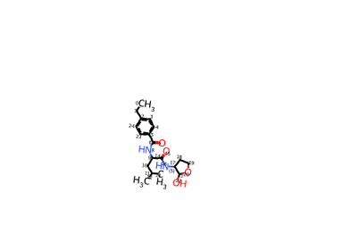 CCc1ccc(C(=O)NC(CC(C)C)C(=O)N[C@H]2CCOC2O)cc1